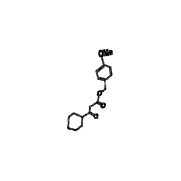 COc1ccc(COC(=O)CC(=O)C2CCCCC2)cc1